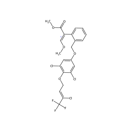 CO/C=C(/C(=O)OC)c1ccccc1COc1cc(Cl)c(OCC=C(Cl)C(F)(F)F)c(Cl)c1